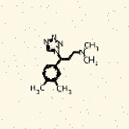 Cc1ccc(C(CCN(C)C)n2cnnn2)cc1C